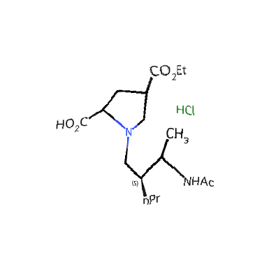 CCC[C@@H](CN1CC(C(=O)OCC)CC1C(=O)O)C(C)NC(C)=O.Cl